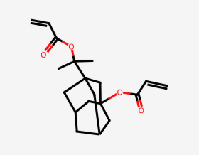 C=CC(=O)OC12CC3CC(C1)CC(C(C)(C)OC(=O)C=C)(C3)C2